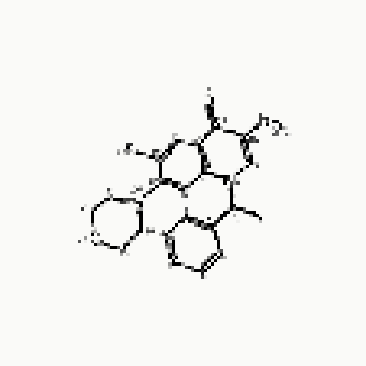 CC(c1ccccc1)n1cc(N)c(=O)c2cc(F)c(N3CCOCC3)cc21